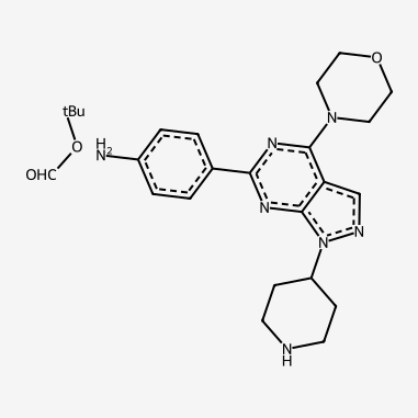 CC(C)(C)OC=O.Nc1ccc(-c2nc(N3CCOCC3)c3cnn(C4CCNCC4)c3n2)cc1